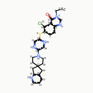 CC(=O)Cn1cnc2ccc(Sc3cnc(N4CCC5(CC4)Cc4cccnc4C5)cn3)c(Cl)c2c1=O